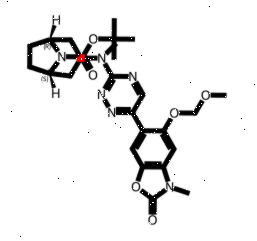 COCOc1cc2c(cc1-c1cnc(N(C)C3C[C@H]4CC[C@@H](C3)N4C(=O)OC(C)(C)C)nn1)oc(=O)n2C